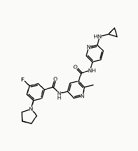 Cc1ncc(NC(=O)c2cc(F)cc(N3CCCC3)c2)cc1C(=O)Nc1ccc(NC2CC2)nc1